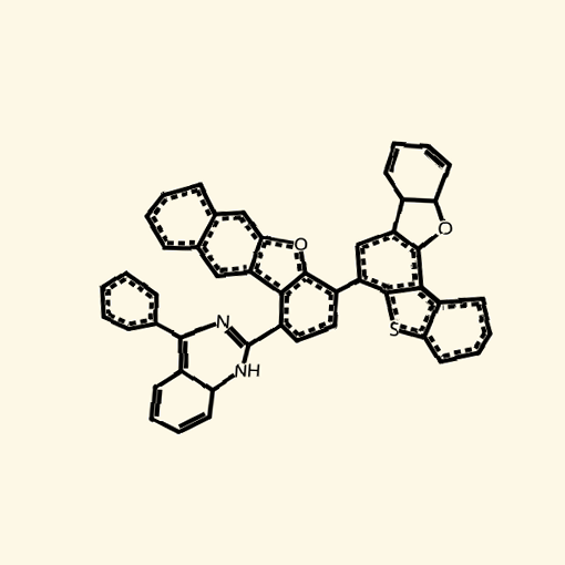 C1=CC2=C(c3ccccc3)N=C(c3ccc(-c4cc5c(c6c4sc4ccccc46)OC4C=CC=CC54)c4oc5cc6ccccc6cc5c34)NC2C=C1